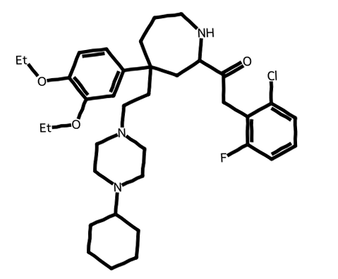 CCOc1ccc(C2(CCN3CCN(C4CCCCC4)CC3)CCCNC(C(=O)Cc3c(F)cccc3Cl)C2)cc1OCC